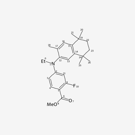 CCN(c1ccc(C(=O)OC)c(F)c1)c1cc2c(cc1C)C(C)(C)CCC2(C)C